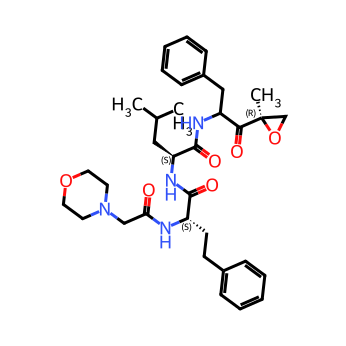 CC(C)C[C@H](NC(=O)[C@H](CCc1ccccc1)NC(=O)CN1CCOCC1)C(=O)NC(Cc1ccccc1)C(=O)[C@@]1(C)CO1